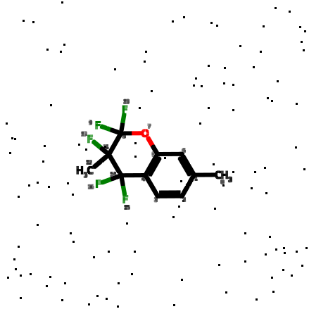 Cc1ccc2c(c1)OC(F)(F)C(C)(F)C2(F)F